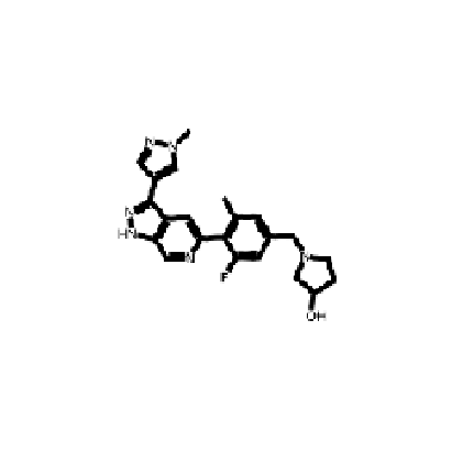 Cc1cc(CN2CCC(O)C2)cc(F)c1-c1cc2c(-c3cnn(C)c3)n[nH]c2cn1